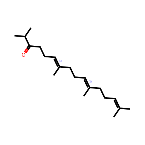 CC(C)=CCC/C(C)=C/CC/C(C)=C/CCC(=O)C(C)C